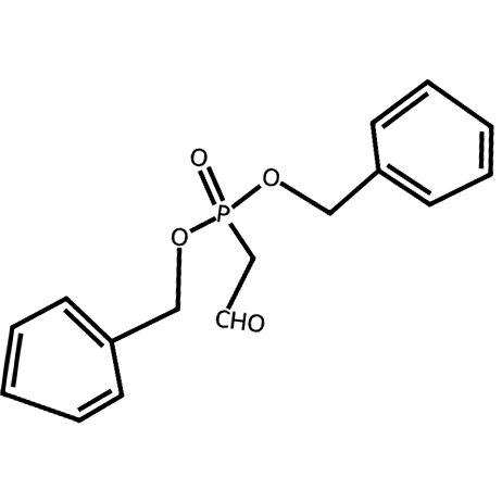 O=CCP(=O)(OCc1ccccc1)OCc1ccccc1